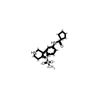 CS(=O)(=O)n1c2c(c3cc(NC(=O)C4CCCC4)ccc31)CNCC2